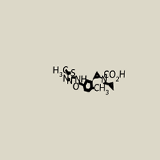 Cc1nnc(NC(=O)c2ccc(C)c([C@@H]3C[C@H]3N(CC3CC3)C(=O)O)c2)s1